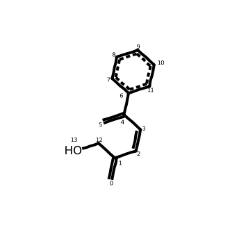 C=C(/C=C\C(=C)c1ccccc1)CO